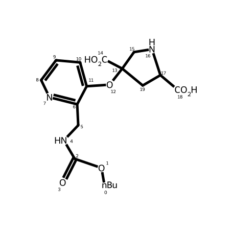 CCCCOC(=O)NCc1ncccc1OC1(C(=O)O)CNC(C(=O)O)C1